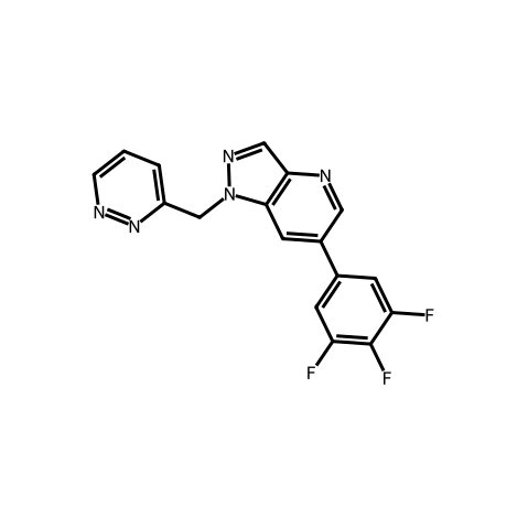 Fc1cc(-c2cnc3cnn(Cc4cccnn4)c3c2)cc(F)c1F